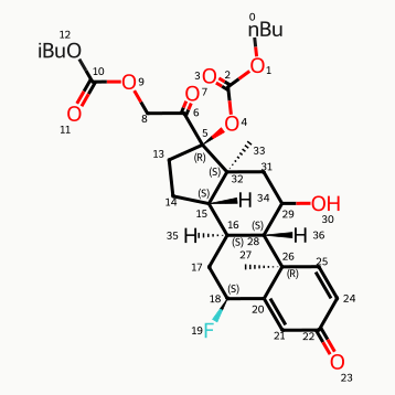 CCCCOC(=O)O[C@]1(C(=O)COC(=O)OCC(C)C)CC[C@H]2[C@@H]3C[C@H](F)C4=CC(=O)C=C[C@]4(C)[C@H]3C(O)C[C@@]21C